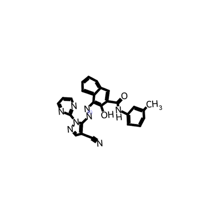 Cc1cccc(NC(=O)c2cc3ccccc3c(/N=N/c3c(C#N)cnn3-c3ncccn3)c2O)c1